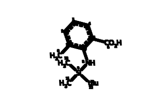 Cc1cccc(C(=O)O)c1N[Si](C)(C)C(C)(C)C